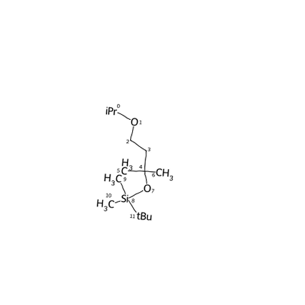 CC(C)OCCC(C)(C)O[Si](C)(C)C(C)(C)C